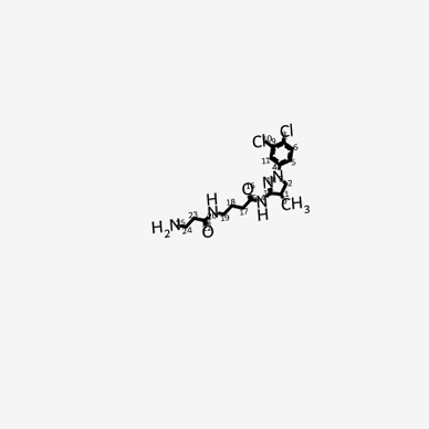 CC1CN(c2ccc(Cl)c(Cl)c2)N=C1NC(=O)CCCNC(=O)CCN